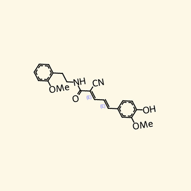 COc1cc(/C=C/C=C(\C#N)C(=O)NCCc2ccccc2OC)ccc1O